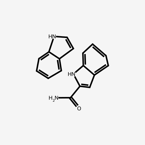 NC(=O)c1cc2ccccc2[nH]1.c1ccc2[nH]ccc2c1